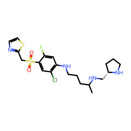 CC(CCCNc1cc(F)c(S(=O)(=O)Cc2nccs2)cc1Cl)NC[C@@H]1CCCN1